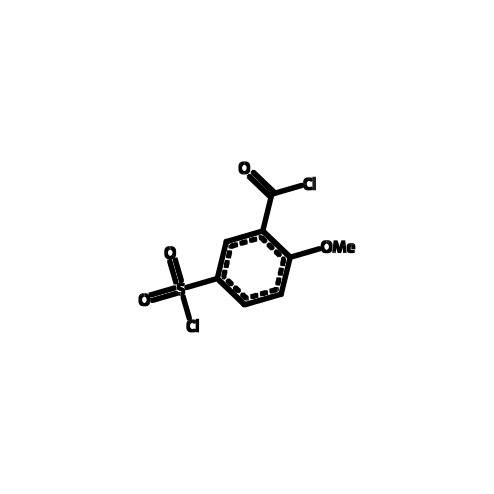 COc1ccc(S(=O)(=O)Cl)cc1C(=O)Cl